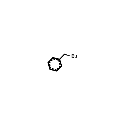 CC[C@H](C)Cc1[c]cccc1